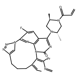 C=CC(=O)N1C[C@H](C)N(c2nc(=O)n3c4nc(c(F)cc24)-n2cc(nn2)CCCC(=C/C)/C3=C(\N=C)C(C)C)C[C@H]1C